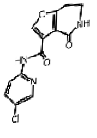 O=C(Nc1ccc(Cl)cn1)c1coc2c1C(=O)NCC2